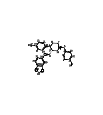 Fc1ccc(CN2CC[C@H](c3ccc(F)cc3)[C@@H](COc3ccc4c(c3)OCO4)C2)cc1